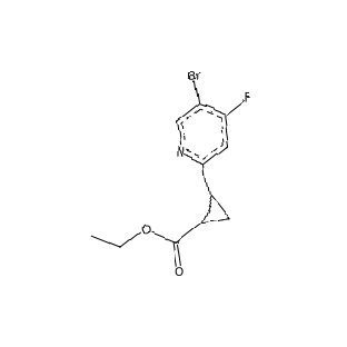 CCOC(=O)C1CC1c1cc(F)c(Br)cn1